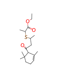 CCOC(=O)C(C)SC(C)CC(=O)C1C(C)=CCCC1(C)C